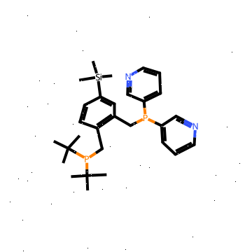 CC(C)(C)P(Cc1ccc([Si](C)(C)C)cc1CP(c1cccnc1)c1cccnc1)C(C)(C)C